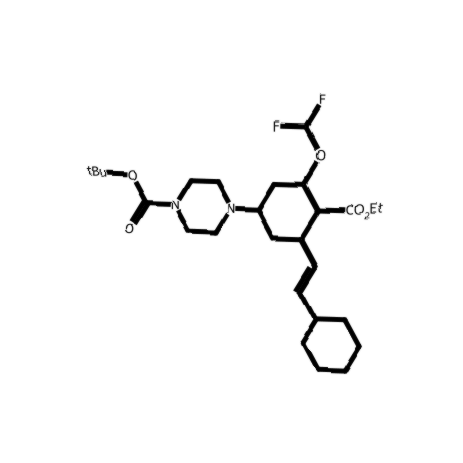 CCOC(=O)C1C(/C=C/C2CCCCC2)CC(N2CCN(C(=O)OC(C)(C)C)CC2)CC1OC(F)F